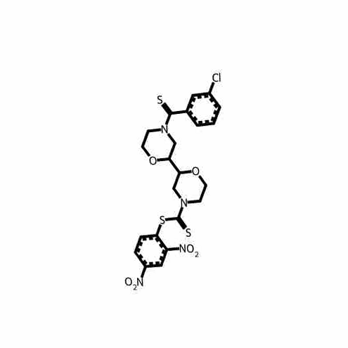 O=[N+]([O-])c1ccc(SC(=S)N2CCOC(C3CN(C(=S)c4cccc(Cl)c4)CCO3)C2)c([N+](=O)[O-])c1